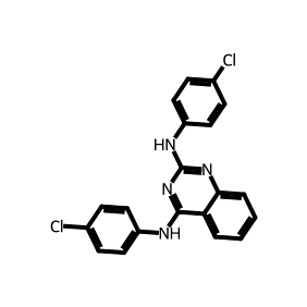 Clc1ccc(Nc2nc(Nc3ccc(Cl)cc3)c3ccccc3n2)cc1